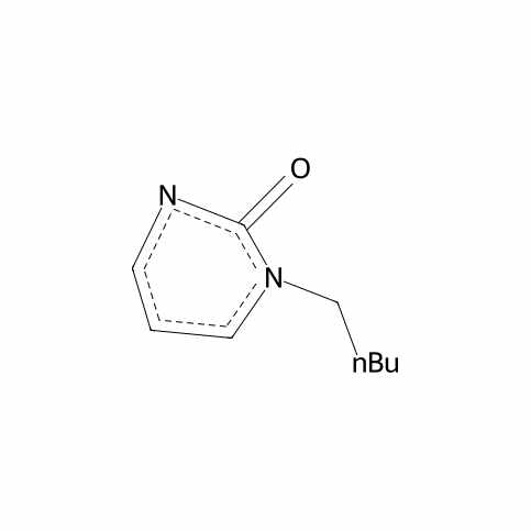 CCCCCn1cccnc1=O